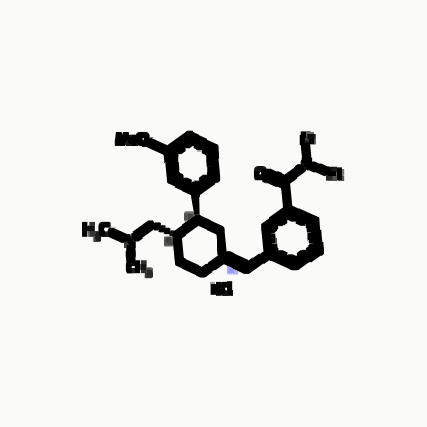 CCN(CC)C(=O)c1cccc(/C=C2/CC[C@H](CN(C)C)[C@@H](c3cccc(OC)c3)C2)c1.Cl